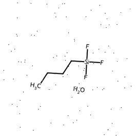 CCCC[Si](F)(F)F.O